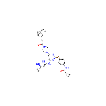 CC(=N)/C=C(\N)Nc1cc(N2CCN(C(=O)CCC[SiH](C)C)CC2)nc(Sc2ccc(NC(=O)C3CC3)cc2)n1